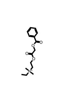 CC[N+](C)(C)CCOC(=O)COC(=O)c1ccccc1